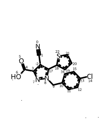 N#Cc1c(C(=O)O)nn(Cc2ccc(Cl)cc2)c1-c1cccs1